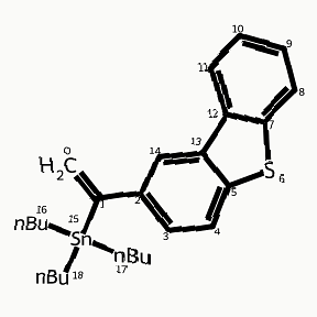 C=[C](c1ccc2sc3ccccc3c2c1)[Sn]([CH2]CCC)([CH2]CCC)[CH2]CCC